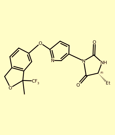 CC[C@H]1NC(=O)N(c2ccc(Oc3ccc4c(c3)C(C)(C(F)(F)F)OC4)nc2)C1=O